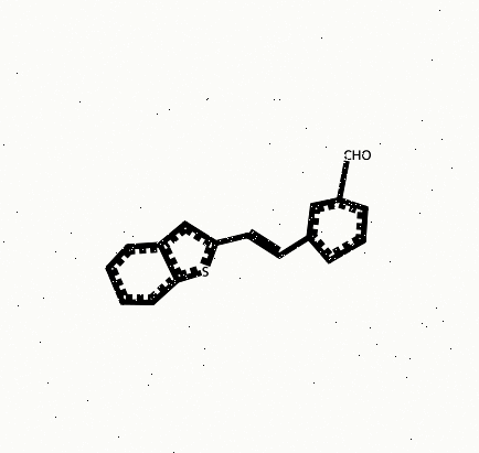 O=Cc1cccc(/C=C/c2cc3ccccc3s2)c1